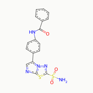 NS(=O)(=O)c1nn2c(-c3ccc(NC(=O)c4ccccc4)cc3)cnc2s1